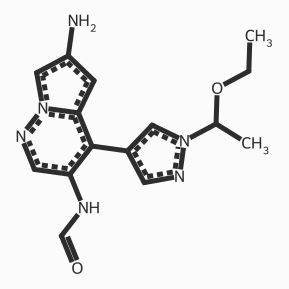 CCOC(C)n1cc(-c2c(NC=O)cnn3cc(N)cc23)cn1